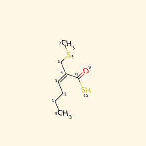 CCCC=C(CSC)C(=O)S